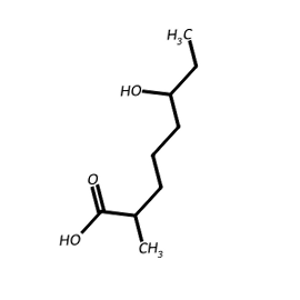 CCC(O)CCCC(C)C(=O)O